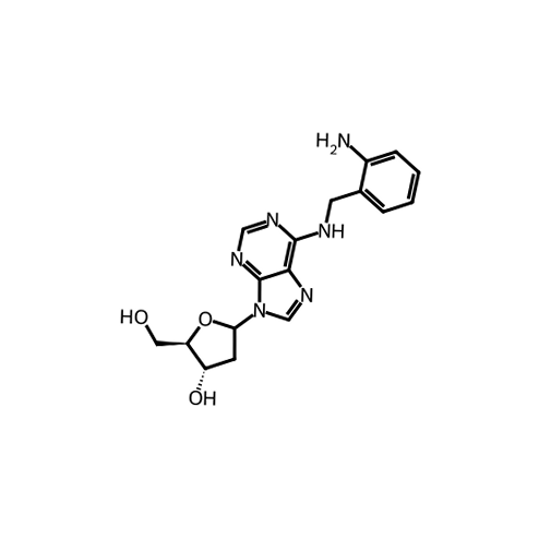 Nc1ccccc1CNc1ncnc2c1ncn2C1C[C@H](O)[C@@H](CO)O1